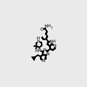 C=C/C(=C\C=C\C(N)=O)c1cc2c(-c3nc(NC4CCNCC4(C)C)c4c(CC5CC5)cncc4n3)ccnc2[nH]1